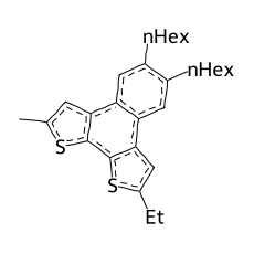 CCCCCCc1cc2c(cc1CCCCCC)c1cc(CC)sc1c1sc(C)cc21